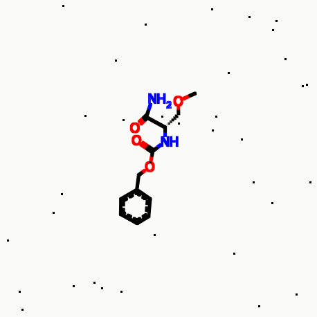 COC[C@H](NC(=O)OCc1ccccc1)C(N)=O